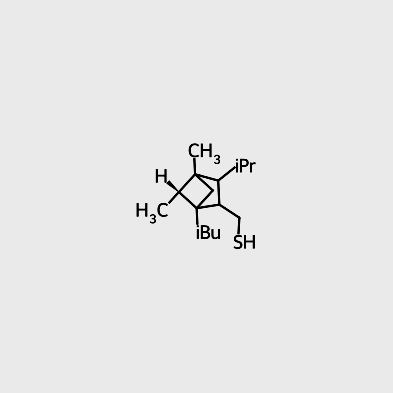 CCC(C)C12CC(C)(C(C(C)C)C1CS)[C@H]2C